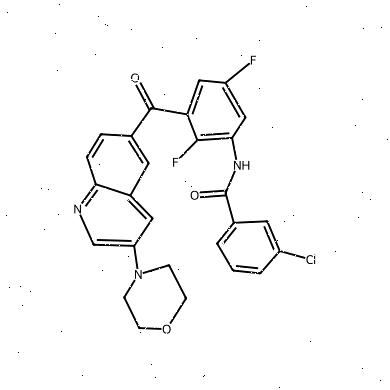 O=C(Nc1cc(F)cc(C(=O)c2ccc3ncc(N4CCOCC4)cc3c2)c1F)c1cccc(Cl)c1